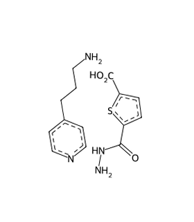 NCCCc1ccncc1.NNC(=O)c1ccc(C(=O)O)s1